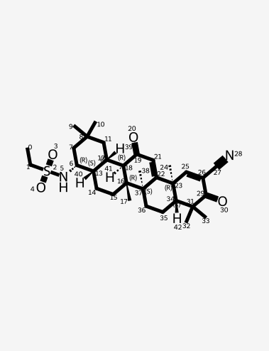 CCS(=O)(=O)N[C@@H]1CC(C)(C)C[C@H]2[C@@H]1CC[C@]1(C)[C@@H]2C(=O)C=C2[C@@]3(C)C=C(C#N)C(=O)C(C)(C)[C@@H]3CC[C@]21C